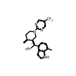 C=C1CCN(c2ncc(C(F)(F)F)cn2)C/C1=C(/CCC)c1ccc(C)c2[nH]ccc12